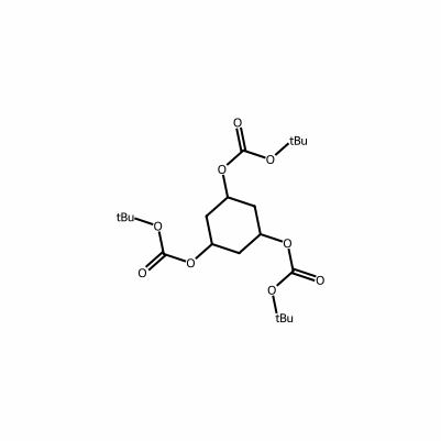 CC(C)(C)OC(=O)OC1CC(OC(=O)OC(C)(C)C)CC(OC(=O)OC(C)(C)C)C1